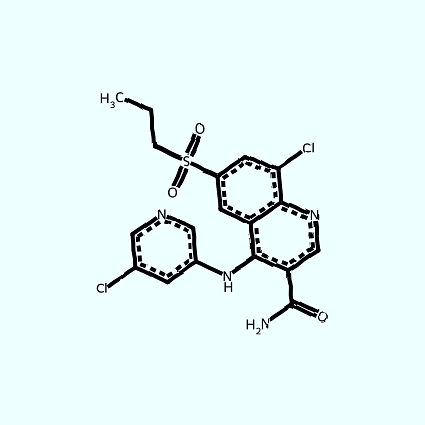 CCCS(=O)(=O)c1cc(Cl)c2ncc(C(N)=O)c(Nc3cncc(Cl)c3)c2c1